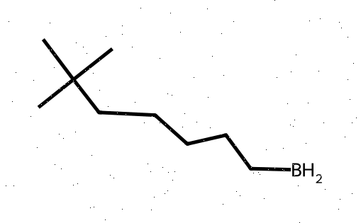 BCCCCCC(C)(C)C